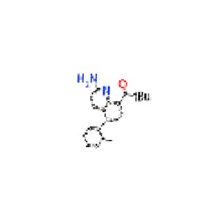 Cc1ccccc1-c1ccc(C(=O)C(C)(C)C)c2nc(N)ccc12